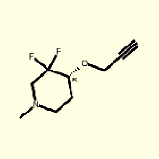 C#CCO[C@@H]1CCN(C)CC1(F)F